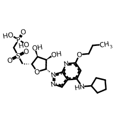 CCCOc1cc(NC2CCCC2)c2cnn([C@@H]3O[C@H](CS(=O)(=O)CP(=O)(O)O)[C@@H](O)[C@H]3O)c2n1